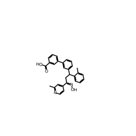 Cc1cc(/C(CC(c2cccc(-c3cccc(C(=O)O)c3)c2)c2ccccc2C)=N\O)ccn1